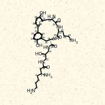 NCCCC[C@H](N)CC(=O)NCC(O)CNC(=O)[C@@H]1Cc2cc(ccc2O)-c2ccc(O)c(c2)C[C@H](N)C(=O)N[C@@H](CCCN)C(=O)N1